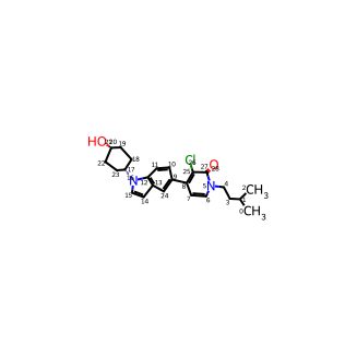 CC(C)CCn1ccc(-c2ccc3c(ccn3[C@H]3CC[C@H](O)CC3)c2)c(Cl)c1=O